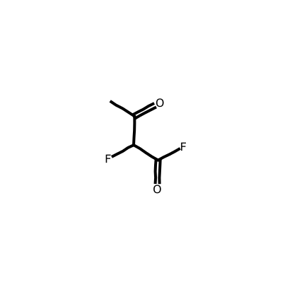 CC(=O)C(F)C(=O)F